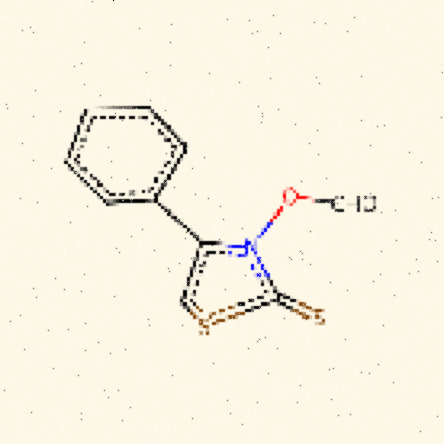 O=COn1c(-c2ccccc2)csc1=S